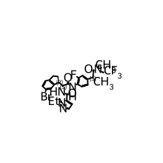 CCn1nccc1C(=O)N[C@H](C(=O)Nc1ccc([C@H](C)C(=O)N(C)CC(F)(F)F)cc1F)[C@@H]1CCc2ccc(Br)cc21